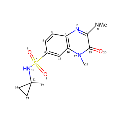 CNc1nc2ccc(S(=O)(=O)NC3(C)CC3)cc2n(C)c1=O